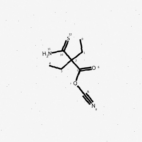 CCC(CC)(C(=O)OC#N)C(N)=S